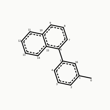 Cc1cccc(-c2cccc3ccccc23)c1